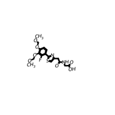 COCOc1ccc(-c2nc(CC(=O)NCC(=O)O)cs2)c(F)c1OCOC